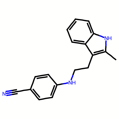 Cc1[nH]c2ccccc2c1CCNc1ccc(C#N)cc1